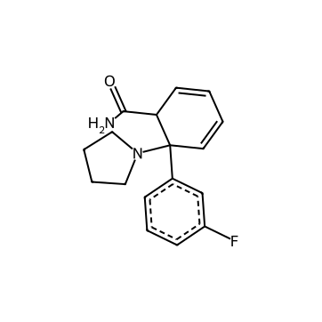 NC(=O)C1C=CC=CC1(c1cccc(F)c1)N1CCCC1